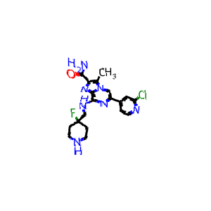 Cc1c(C(N)=O)nc2c(NCC3(F)CCNCC3)nc(-c3ccnc(Cl)c3)cn12